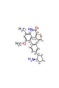 COc1cc(C)c2[nH]c(=O)c3sccc3c2c1-c1ccc(C2CCCC2N)cc1